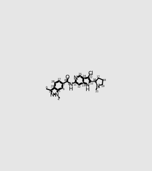 Cc1nn(C)c2cc(C(=O)Nc3cc4[nH]c([C@H]5CCCN5C)c(Cl)c4cn3)ccc12